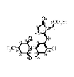 CCOC(=O)CN1C(=O)CSC1=Nc1cc(N2C(=O)CC(C(F)(F)F)CC2=O)c(F)cc1Cl